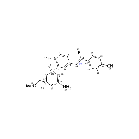 COC[C@@]1(C)C[C@@](C)(c2cc(/C=C(\F)c3cnc(C#N)cn3)ccc2F)N=C(N)S1